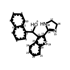 OC(c1cccc2ccccc12)c1c(C2=NCCN2)sc2ccccc12